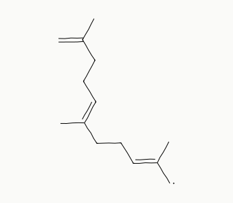 [CH2]C(C)=CCCC(C)=CCCC(=C)C